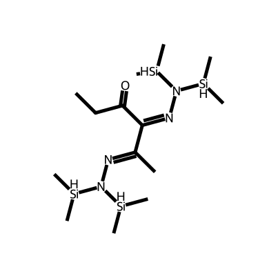 CCC(=O)C(=NN([SiH](C)C)[SiH](C)C)C(C)=NN([SiH](C)C)[SiH](C)C